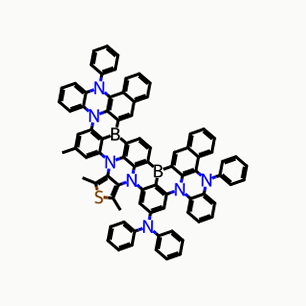 Cc1cc2c3c(c1)N1c4c(ccc5c4N(c4cc(N(c6ccccc6)c6ccccc6)cc6c4B5c4cc5ccccc5c5c4N6c4ccccc4N5c4ccccc4)c4c(C)sc(C)c41)B3c1cc3ccccc3c3c1N2c1ccccc1N3c1ccccc1